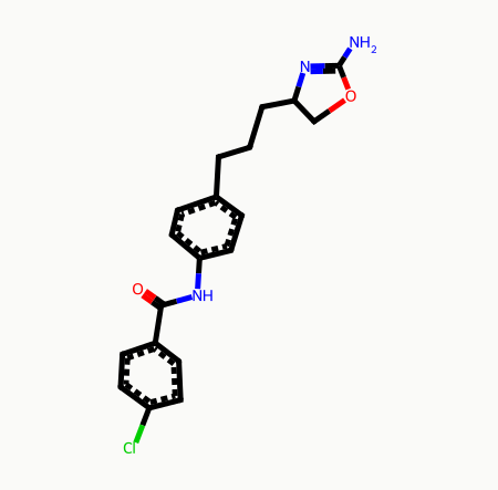 NC1=NC(CCCc2ccc(NC(=O)c3ccc(Cl)cc3)cc2)CO1